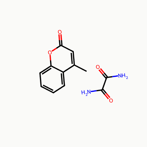 Cc1cc(=O)oc2ccccc12.NC(=O)C(N)=O